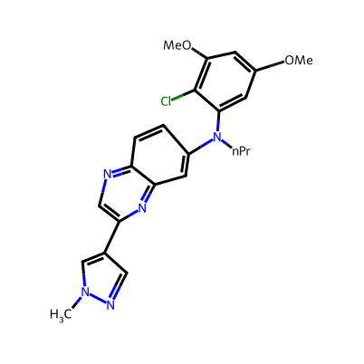 CCCN(c1ccc2ncc(-c3cnn(C)c3)nc2c1)c1cc(OC)cc(OC)c1Cl